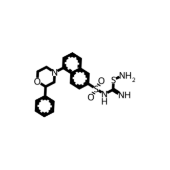 N=C(NS(=O)(=O)c1ccc2c(N3CCOC(c4ccccc4)C3)cccc2c1)SN